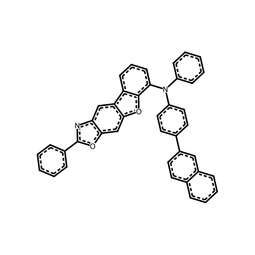 c1ccc(-c2nc3cc4c(cc3o2)oc2c(N(c3ccccc3)c3ccc(-c5ccc6ccccc6c5)cc3)cccc24)cc1